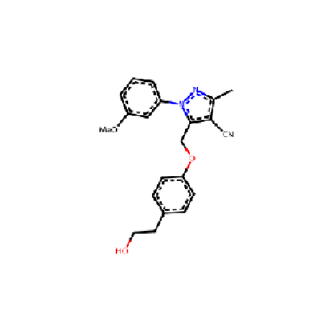 COc1cccc(-n2nc(C)c(C#N)c2COc2ccc(CCO)cc2)c1